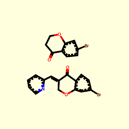 O=C1/C(=C/c2ccccn2)COc2cc(Br)ccc21.O=C1CCOc2cc(Br)ccc21